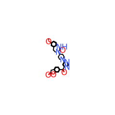 COc1ccc2c(c1)CCN(C1CCN(c3cc(C(=O)c4ccc5c(c4)OC(=O)C5)ncn3)CC1)C(=O)N2